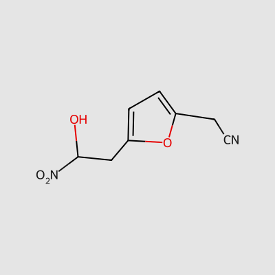 N#CCc1ccc(CC(O)[N+](=O)[O-])o1